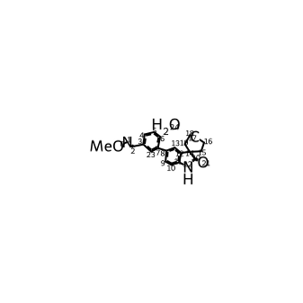 CON=Cc1cccc(-c2ccc3c(c2)C2(CCCCC2)C(=O)N3)c1.O